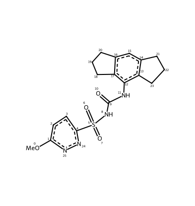 COc1ccc(S(=O)(=O)NC(=O)Nc2c3c(cc4c2CCC4)CCC3)nn1